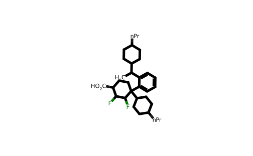 CCCC1CCC(C(C)c2ccccc2C2(C3CCC(CCC)CC3)CCC(C(=O)O)C(F)C2F)CC1